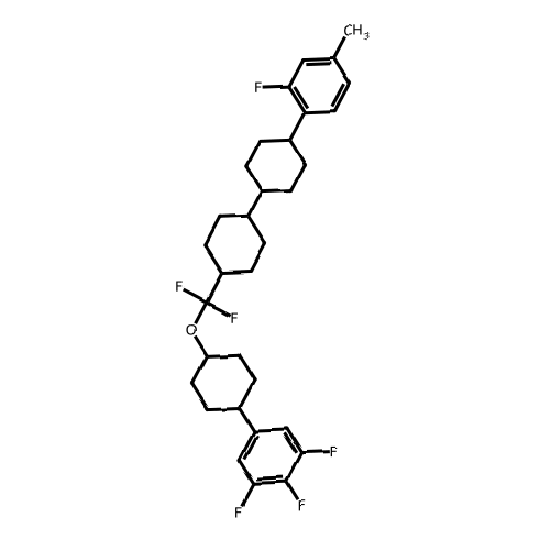 Cc1ccc(C2CCC(C3CCC(C(F)(F)OC4CCC(c5cc(F)c(F)c(F)c5)CC4)CC3)CC2)c(F)c1